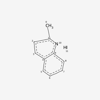 Cc1ccc2ccccc2n1.I